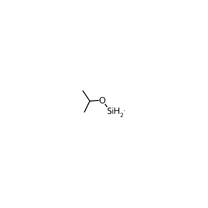 CC(C)O[SiH2]